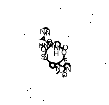 CCO[C@@H]1C2=NC(CS2)c2ccc3c(c2)c(c(-c2cccnc2[C@H](C)OC)n3CC)CC(C)(C)COC(=O)[C@@H]2CCCN(N2)C(=O)[C@H]1NC(=O)[C@H]1[C@H](C)[C@@H]1c1ncccn1